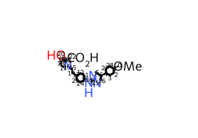 COc1ccc(-c2cnc(Nc3ccc(CCN4CC[C@H](O)[C@@H]4C(=O)O)cc3)nc2)cc1